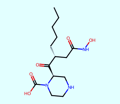 CCCCC[C@H](CC(=O)NO)C(=O)[C@H]1CNCCN1C(=O)O